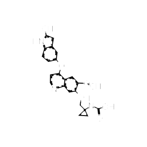 COc1cc2c(Oc3ccc4[nH]c(C)cc4c3)ccnc2cc1OCC1(NC(=O)O)CC1